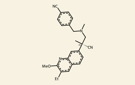 CCc1cc2ccc([C@](C)(C#N)CN(C)Cc3ccc(C#N)cc3)cc2nc1OC